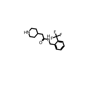 O=C(CC1CCNCC1)NCc1ccccc1C(F)(F)F